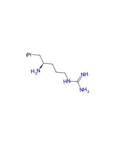 CC(C)C[C@H](N)CCCNC(=N)N